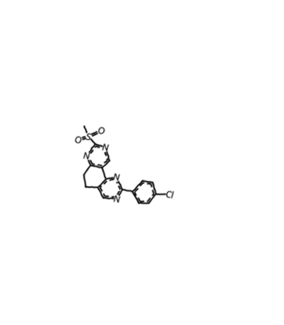 CS(=O)(=O)c1ncc2c(n1)CCc1cnc(-c3ccc(Cl)cc3)nc1-2